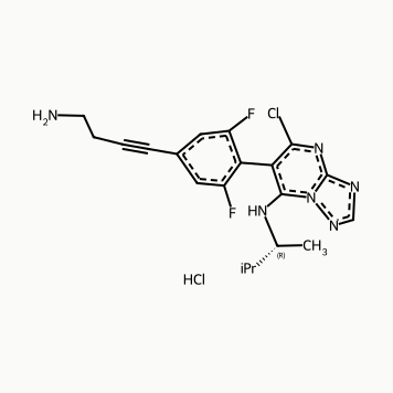 CC(C)[C@@H](C)Nc1c(-c2c(F)cc(C#CCCN)cc2F)c(Cl)nc2ncnn12.Cl